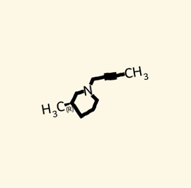 CC#CCN1CCC[C@@H](C)C1